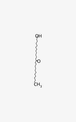 CCCCCCCCCCCCC(=O)CCCCCCCCCCCCO